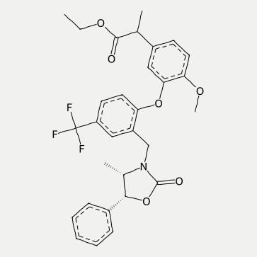 CCOC(=O)C(C)c1ccc(OC)c(Oc2ccc(C(F)(F)F)cc2CN2C(=O)O[C@H](c3ccccc3)[C@@H]2C)c1